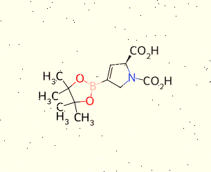 CC1(C)OB(C2=C[C@@H](C(=O)O)N(C(=O)O)C2)OC1(C)C